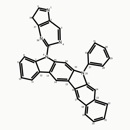 C1=Nc2cnc(-n3c4ccccc4c4cc5c6cc7ccccc7cc6n(-c6ccccc6)c5cc43)nc2C1